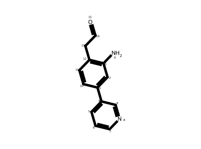 Nc1cc(-c2cccnc2)ccc1CC=O